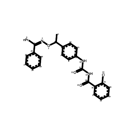 CCCC(=NOC(C)c1ccc(NC(=O)NC(=O)c2ccccc2Cl)cc1)c1ccccc1